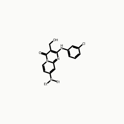 CCN(CC)c1ccn2c(=O)c(CO)c(Nc3cccc(Cl)c3)nc2c1